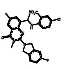 Cc1cc(C(C)Nc2ccc(Cl)cc2C(=O)O)c2nc(N3Cc4ccc(F)cc4C3)n(C)c(=O)c2c1